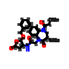 CN[C@H]1CN(C(=O)COC)c2ccccc2N(CC(=O)N[C@H]2CC(=O)OC2OCc2ccccc2)C1=O